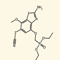 CCOP(=O)(COc1cc(SC#N)c(OC)c2sc(N)nc12)OCC